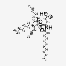 CCCCCCCCCCCC(=O)NC(CCC(=O)O)C(=O)OC(CCCCCC)(CCCCCC)CCCCCCCCC